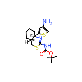 CC(C)(C)OC(=O)NC1=N[C@@]2(c3cc(N)cs3)CCCC[C@H]2CS1